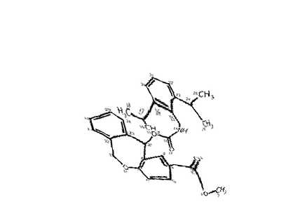 COC(=O)c1ccc2c(c1)C(OC(=O)Nc1c(C(C)C)cccc1C(C)C)c1ccccc1CO2